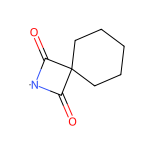 O=C1[N]C(=O)C12CCCCC2